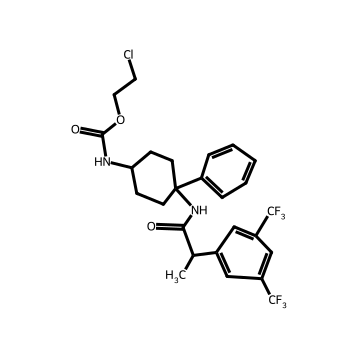 CC(C(=O)NC1(c2ccccc2)CCC(NC(=O)OCCCl)CC1)c1cc(C(F)(F)F)cc(C(F)(F)F)c1